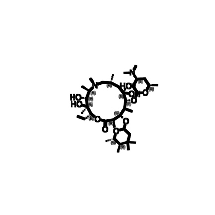 CC[C@H]1OC(=O)[C@H](C)[C@@H](OC2CC(C)(C)[C@@H](C)[C@H](C)O2)C(C)[C@@H](OC2O[C@H](C)C[C@H](N(C)C)[C@H]2O)[C@](C)(O)C[C@@H](C)CN(C)[C@H](C)[C@@H](O)[C@]1(C)O